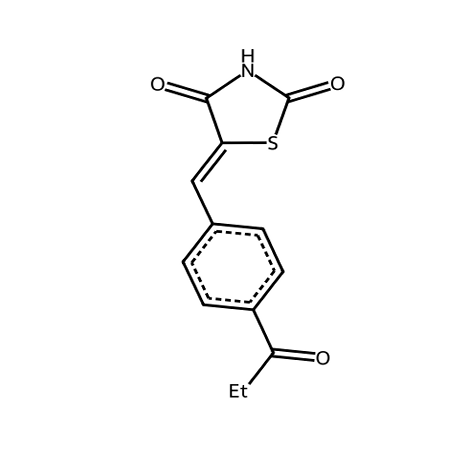 CCC(=O)c1ccc(/C=C2\SC(=O)NC2=O)cc1